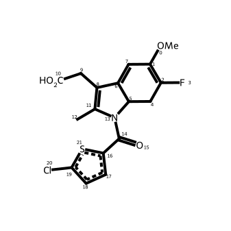 COC1=C(F)CC2C(=C1)C(CC(=O)O)=C(C)N2C(=O)c1ccc(Cl)s1